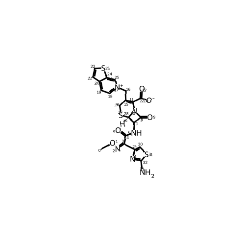 CO/N=C(\C(=O)NC1C(=O)N2C(C(=O)[O-])=C(C[n+]3ccc4ccsc4c3)CS[C@H]12)c1csc(N)n1